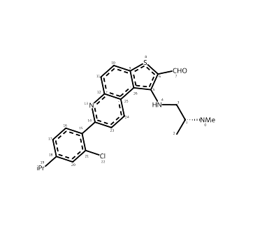 CN[C@H](C)CNc1c(C=O)sc2ccc3nc(-c4ccc(C(C)C)cc4Cl)ccc3c12